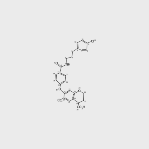 O=C(NCCCc1ccc(Cl)cc1)c1ccc(Oc2cc3c(cc2Cl)C(C(=O)O)CCO3)cc1